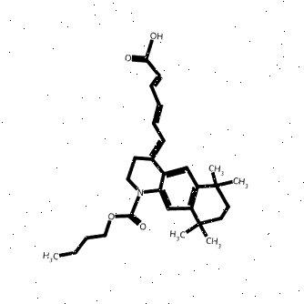 CCCCOC(=O)N1CCC(=C/C=C/C=C/C(=O)O)c2cc3c(cc21)C(C)(C)CCC3(C)C